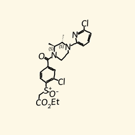 CCOC(=O)C[S+]([O-])c1ccc(C(=O)N2CCN(c3cccc(Cl)n3)[C@@H](C)[C@@H]2C)cc1Cl